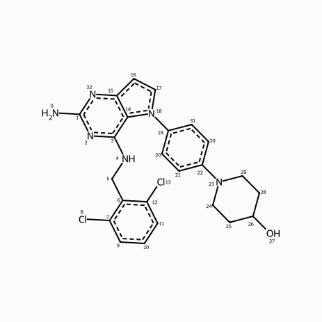 Nc1nc(NCc2c(Cl)cccc2Cl)c2c(ccn2-c2ccc(N3CCC(O)CC3)cc2)n1